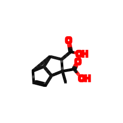 CC1(C(=O)O)C2C=CC3C2C3C1C(=O)O